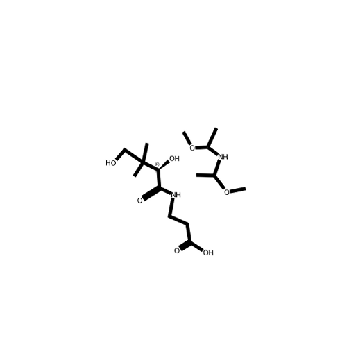 CC(C)(CO)[C@@H](O)C(=O)NCCC(=O)O.COC(C)NC(C)OC